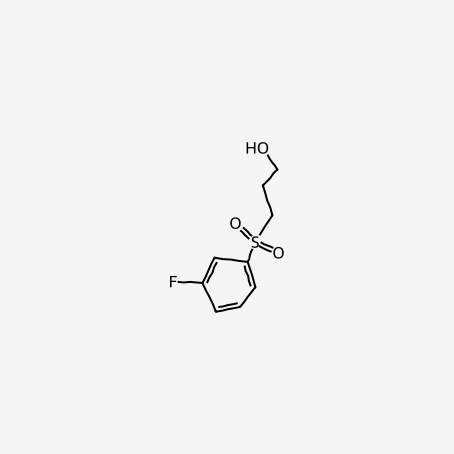 O=S(=O)(CCCO)c1cccc(F)c1